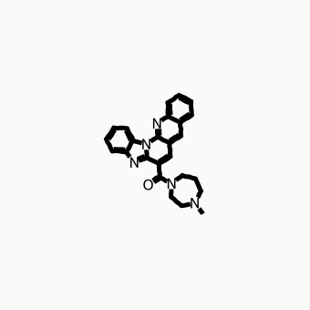 CN1CCCN(C(=O)c2cc3cc4ccccc4nc3n3c2nc2ccccc23)CC1